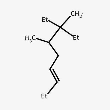 [CH2]C(CC)(CC)C(C)CC=CCC